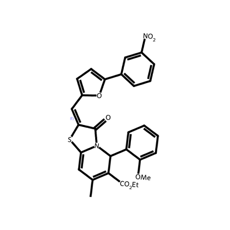 CCOC(=O)C1=C(C)C=c2s/c(=C/c3ccc(-c4cccc([N+](=O)[O-])c4)o3)c(=O)n2C1c1ccccc1OC